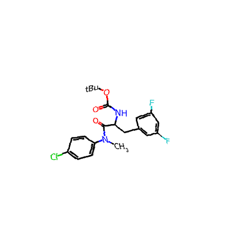 CN(C(=O)C(Cc1cc(F)cc(F)c1)NC(=O)OC(C)(C)C)c1ccc(Cl)cc1